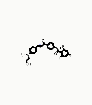 CN(CCO)c1ccc(/C=C/C(=O)c2ccc(NC(=O)c3c(F)cc(F)cc3F)cc2)cc1